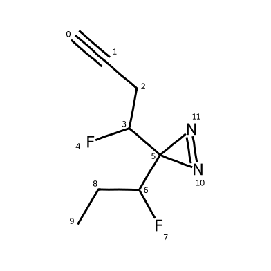 C#CCC(F)C1(C(F)CC)N=N1